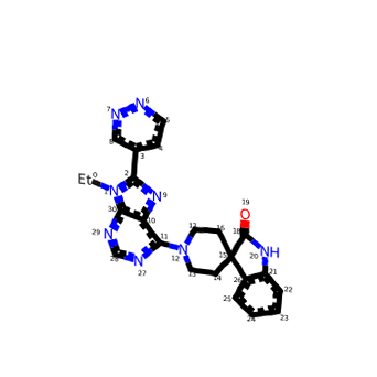 CCn1c(-c2ccnnc2)nc2c(N3CCC4(CC3)C(=O)Nc3ccccc34)ncnc21